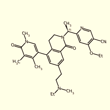 CCOc1cc([C@H](C)N2CCc3c(cc(CCN(C)CC)cc3-c3cn(C)c(=O)c(C)c3C)C2=O)ncc1C#N